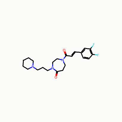 O=C(C=Cc1ccc(F)c(F)c1)N1CCC(=O)N(CCCN2CCCCC2)CC1